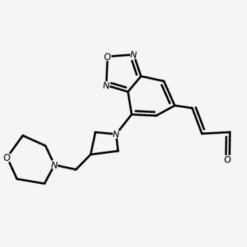 O=C/C=C/c1cc(N2CC(CN3CCOCC3)C2)c2nonc2c1